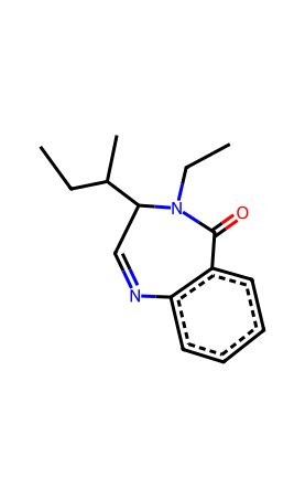 CCC(C)C1C=Nc2ccccc2C(=O)N1CC